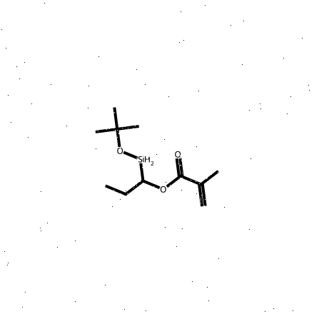 C=C(C)C(=O)OC(CC)[SiH2]OC(C)(C)C